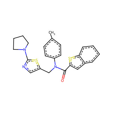 Cc1ccc(N(Cc2cnc(N3CCCC3)s2)C(=O)c2cc3ccccc3s2)cc1